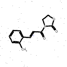 Cc1ccccc1/C=C/C(=O)N1CCOC1=O